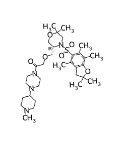 Cc1c(C)c(S(=O)(=O)N2CC(C)(C)OC[C@H]2COCC(=O)N2CCN(C3CCN(C)CC3)CC2)c(C)c2c1OC(C)(C)C2